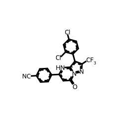 N#Cc1ccc(-c2cc(=O)n3nc(C(F)(F)F)c(-c4ccc(Cl)cc4Cl)c3[nH]2)cc1